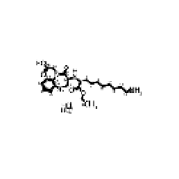 CCOC(=O)[C@H](CCCCCCCCN)NC1COc2ccccc2N(CC(=O)O)C1=O.Cl.Cl